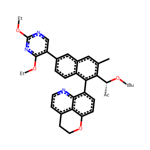 CCOc1ncc(-c2ccc3c(-c4ccc5c6c(ccnc46)CCO5)c([C@H](OC(C)(C)C)C(C)=O)c(C)cc3c2)c(OCC)n1